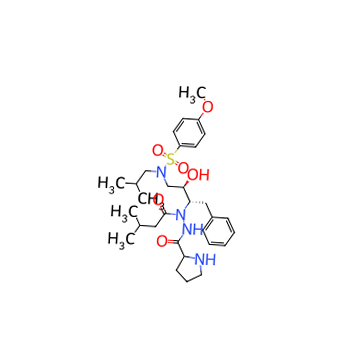 COc1ccc(S(=O)(=O)N(CC(C)C)C[C@@H](O)[C@H](Cc2ccccc2)N(NC(=O)C2CCCN2)C(=O)CC(C)C)cc1